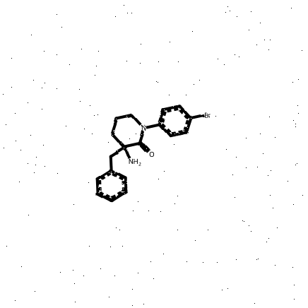 NC1(Cc2ccccc2)CCCN(c2ccc(Br)cc2)C1=O